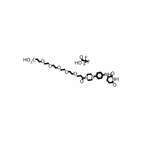 O=C(O)C(F)(F)F.O=C(O)CCOCCOCCOCCOCCOCCC(=O)N1CCN(c2ccc(NC3CCC(=O)NC3=O)cc2)CC1